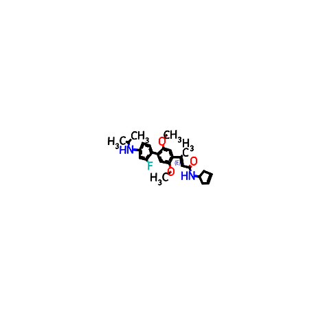 COc1cc(-c2ccc(NC(C)C)cc2F)c(OC)cc1/C(C)=C/C(=O)NC1CC=CC1